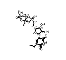 CCn1cc([C@@H]2O[C@H](COP(O)(=S)OP(=O)(O)OP(=O)(O)O)[C@H](O)C2O)c(=O)[nH]c1=O